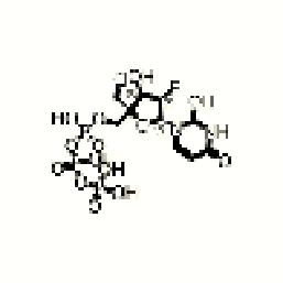 O=C1C=CN([C@@H]2O[C@](CCl)(COP(=O)(O)OP(=O)(O)OP(=O)(O)O)[C@@H](O)[C@H]2F)C(O)N1